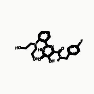 CN(Cc1ccc(F)cc1)C(=O)c1nc(-c2ccccc2N(CCO)CCO)[nH]c(=O)c1O